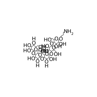 NCCCO[C@@H]1OC(CO)[C@@H](O[C@@H]2OC(CO)[C@@H](O[C@H]3OC(CO)[C@H](O[C@H]4OC(CO)[C@@H](O[C@@H]5OC(CO)[C@@H](O)[C@H](O)C5O)[C@H](O)C4O)[C@H](O)C3O)[C@H](O)C2O)[C@H](O)C1O